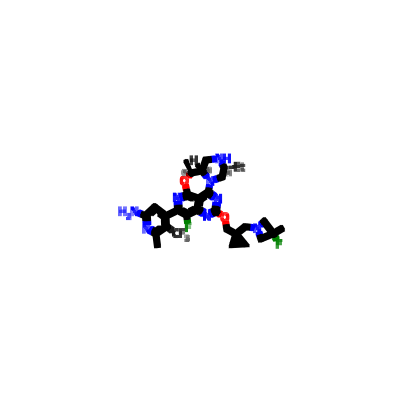 CC[C@@H]1CN2c3nc(OCC4(CN5CC(C)(F)C5)CC4)nc4c(F)c(-c5cc(N)nc(C)c5C(F)(F)F)nc(c34)O[C@@H](C)[C@@H]2CN1